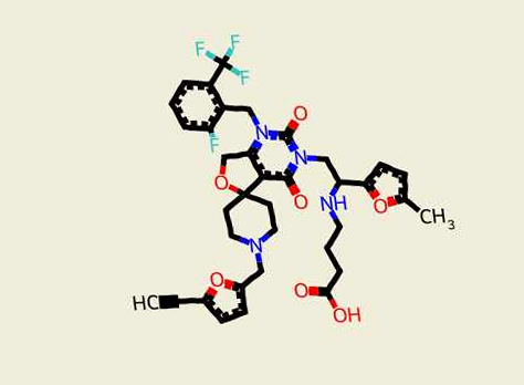 C#Cc1ccc(CN2CCC3(CC2)OCc2c3c(=O)n(CC(NCCCC(=O)O)c3ccc(C)o3)c(=O)n2Cc2c(F)cccc2C(F)(F)F)o1